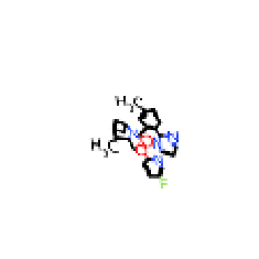 Cc1ccc(-c2ncccn2)c(C(=O)N2C3CC(C3)C(C)C2COc2ccc(F)cn2)c1